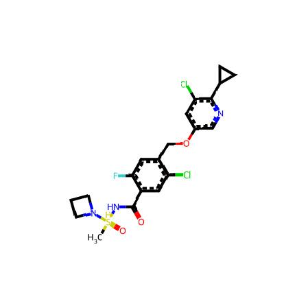 C[SH](=O)(NC(=O)c1cc(Cl)c(COc2cnc(C3CC3)c(Cl)c2)cc1F)N1CCC1